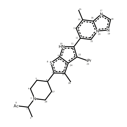 CC(=O)C(C)N1CCC(c2sc3[nH]c(-c4cc(C)c5ncnn5c4)c(C(C)C)c3c2C)CC1